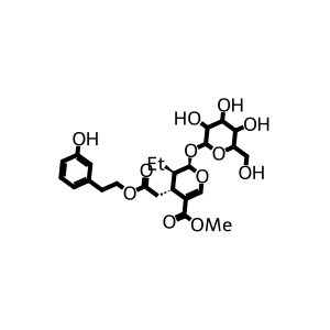 CC[C@H]1[C@@H](OC2OC(CO)C(O)C(O)C2O)OC=C(C(=O)OC)[C@@H]1CC(=O)OCCc1cccc(O)c1